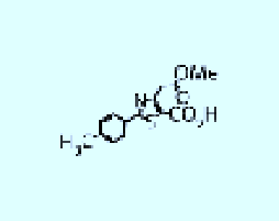 COC(=O)Cc1nc(-c2ccc(C)cc2)sc1C(=O)O